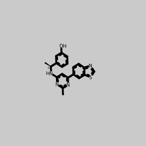 Cc1nc(N[C@@H](C)c2cccc(O)c2)cc(-c2ccc3ncsc3c2)n1